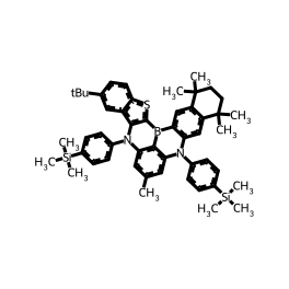 Cc1cc2c3c(c1)N(c1ccc([Si](C)(C)C)cc1)c1c(sc4ccc(C(C)(C)C)cc14)B3c1cc3c(cc1N2c1ccc([Si](C)(C)C)cc1)C(C)(C)CCC3(C)C